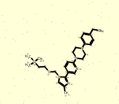 CC(C)(C)Cc1ccc(N2CCN(c3ccc(-c4nc(C(F)(F)F)cn4COCC[Si](C)(C)C)cn3)CC2)cc1